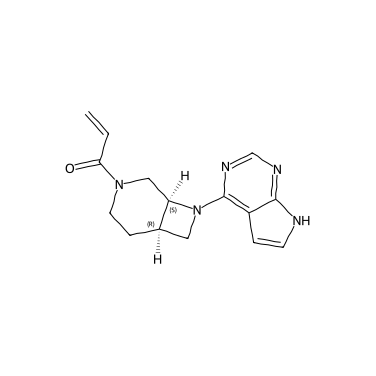 C=CC(=O)N1CC[C@@H]2CN(c3ncnc4[nH]ccc34)[C@@H]2C1